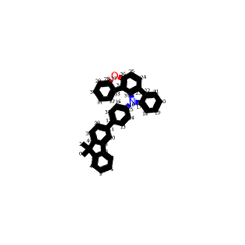 CC1(C)c2ccccc2-c2cc(-c3ccc(-n4c5ccccc5c5ccc6oc7ccccc7c6c54)cc3)ccc21